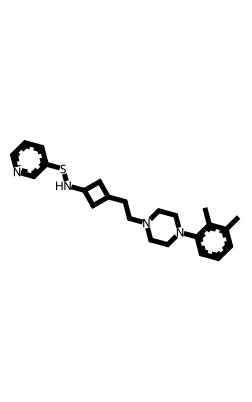 Cc1cccc(N2CCN(CCC3CC(NSc4cccnc4)C3)CC2)c1C